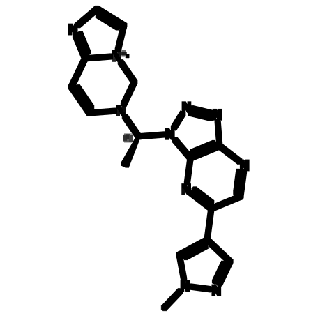 C[C@@H](N1C=CC2=NC=C[N+]2C1)n1nnc2ncc(-c3cnn(C)c3)nc21